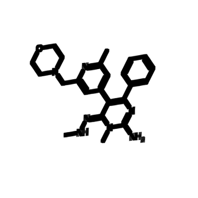 CN/N=c1/c(-c2cc(C)nc(CN3CCOCC3)c2)c(-c2ccccc2)nc(N)n1C